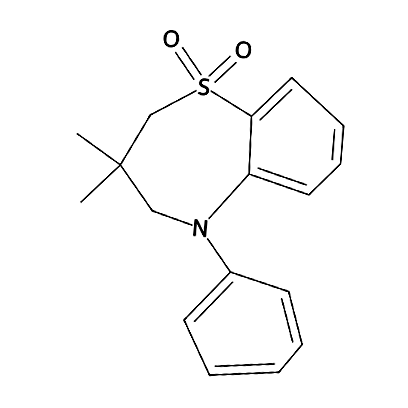 CC1(C)CN(c2ccccc2)c2ccccc2S(=O)(=O)C1